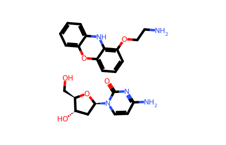 NCCOc1cccc2c1Nc1ccccc1O2.Nc1ccn([C@H]2C[C@H](O)[C@@H](CO)O2)c(=O)n1